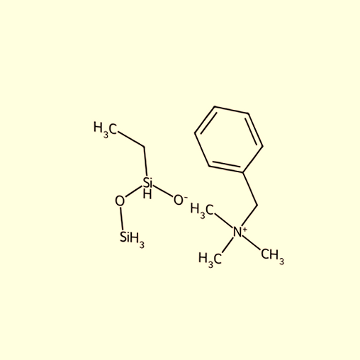 CC[SiH]([O-])O[SiH3].C[N+](C)(C)Cc1ccccc1